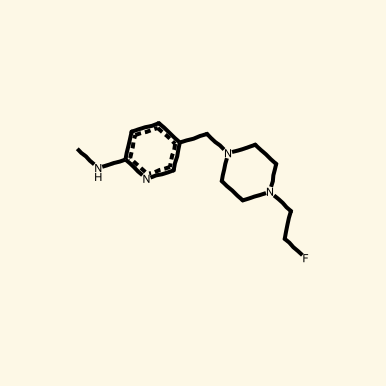 CNc1ccc(CN2CCN(CCF)CC2)cn1